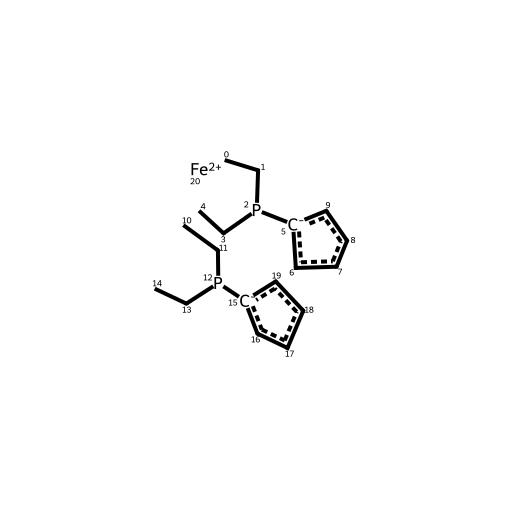 CCP(CC)[c-]1cccc1.CCP(CC)[c-]1cccc1.[Fe+2]